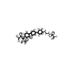 C=C(C)C(=O)OCCCc1ccc(-c2ccc3c(c2)oc2c(OC(F)(F)F)c(OC(=O)C(=C)C)ccc23)cc1